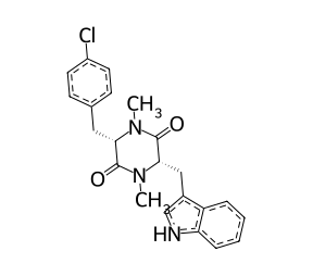 CN1C(=O)[C@H](Cc2c[nH]c3ccccc23)N(C)C(=O)[C@@H]1Cc1ccc(Cl)cc1